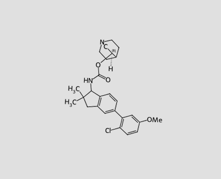 COc1ccc(Cl)c(-c2ccc3c(c2)CC(C)(C)C3NC(=O)O[C@H]2CN3CCC2CC3)c1